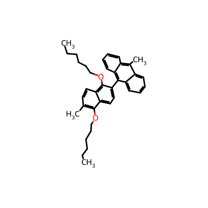 CCCCCCOc1c(C)ccc2c(OCCCCCC)c(-c3c4ccccc4c(C)c4ccccc34)ccc12